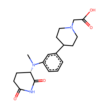 CN(c1cccc(C2CCN(CC(=O)O)CC2)c1)[C@H]1CCC(=O)NC1=O